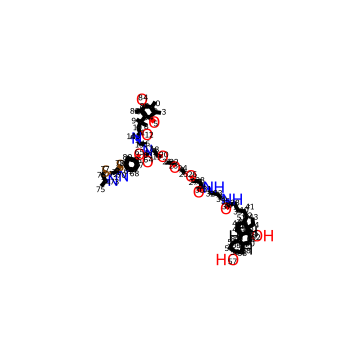 CC1=C(C)C(=O)C(C(C)(C)CC(=O)N(C)CCN(CCOCCOCCOCCC(=O)NCCCNC(=O)CC[C@H](C)[C@@H]2CC[C@@H]3[C@@H]4[C@@H](CC[C@]32C)[C@]2(C)CC[C@H](O)C[C@@H]2C[C@@H]4O)C(=O)Oc2ccc3nc(C4=NC(C)CS4)sc3c2)=C(C)C1=O